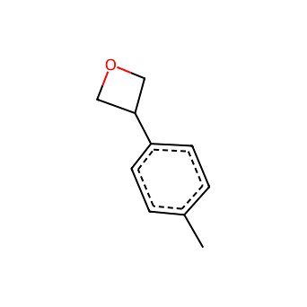 Cc1ccc(C2COC2)cc1